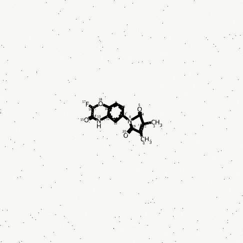 CC1=C(C)C(=O)N(c2ccc3c(c2)NC(=O)C(F)O3)C1=O